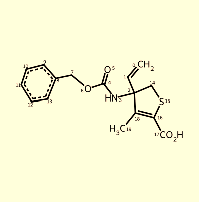 C=CC1(NC(=O)OCc2ccccc2)CSC(C(=O)O)=C1C